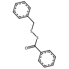 O=C(SSCc1ccccc1)c1ccccc1